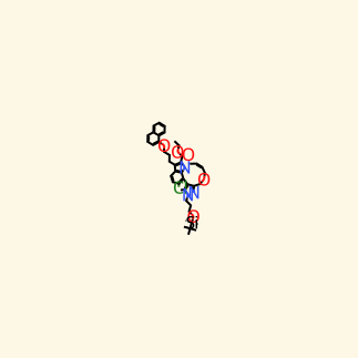 CCOC(=O)c1c(CCCOc2cccc3ccccc23)c2ccc(Cl)c3c2n1C/C=C\COCc1nn(CCCO[Si](C)(C)C(C)(C)C)c(C)c1-3